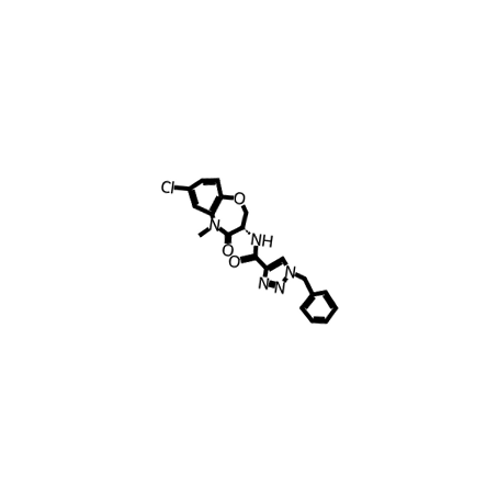 CN1C(=O)[C@@H](NC(=O)c2cn(Cc3ccccc3)nn2)COc2ccc(Cl)cc21